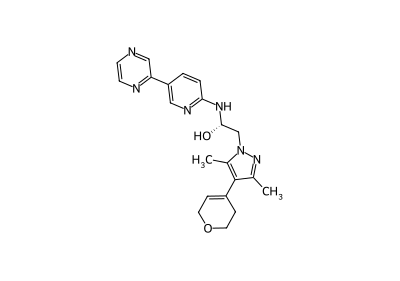 Cc1nn(C[C@H](O)Nc2ccc(-c3cnccn3)cn2)c(C)c1C1=CCOCC1